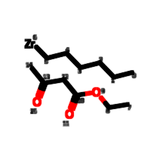 CCCCC[CH2][Zr].CCOC(=O)CC(C)=O